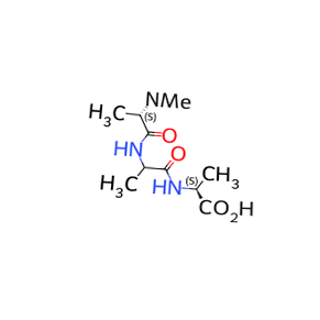 CN[C@@H](C)C(=O)NC(C)C(=O)N[C@@H](C)C(=O)O